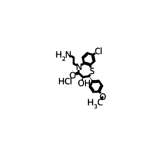 COc1ccc([C@H]2Sc3cc(Cl)ccc3N(CCN)C(=O)[C@H]2O)cc1.Cl